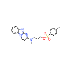 Cc1ccc(S(=O)(=O)OCCCN(C)c2ccn3c(n2)nc2ccccc23)cc1